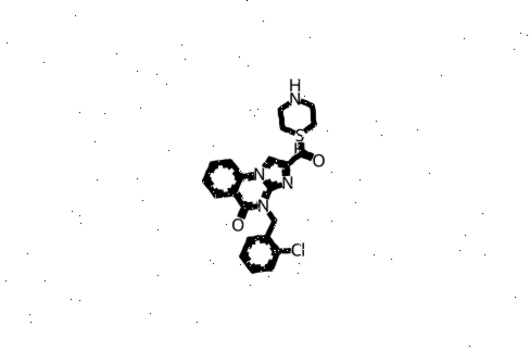 O=C(c1cn2c3ccccc3c(=O)n(Cc3ccccc3Cl)c2n1)[SH]1CCNCC1